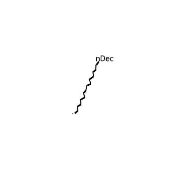 [CH]=CC=CC=CC=CC=CC=CC=CC=CCCCCCCCCCC